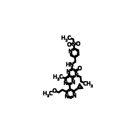 CCCn1c(=O)c(NCc2ccc(S(=O)(=O)CC)nc2)nc2c(C)nc(-c3c(CCOC)ncnc3C3CC3)nc21